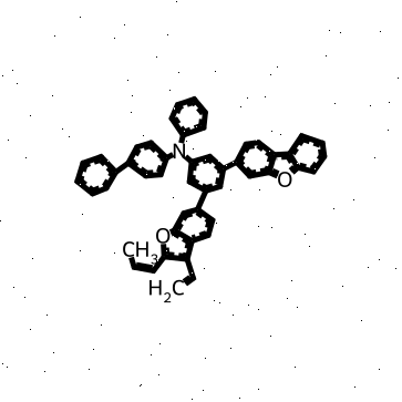 C=Cc1c(/C=C\C)oc2cc(-c3cc(-c4ccc5c(c4)oc4ccccc45)cc(N(c4ccccc4)c4ccc(-c5ccccc5)cc4)c3)ccc12